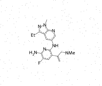 C=C(CNC)c1cc(F)c(N)nc1Nc1cnc2c(c1)c(CC)nn2C